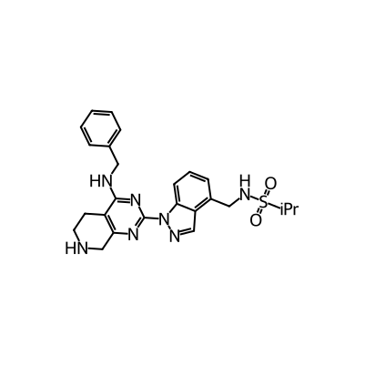 CC(C)S(=O)(=O)NCc1cccc2c1cnn2-c1nc2c(c(NCc3ccccc3)n1)CCNC2